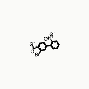 O=[N+]([O-])c1ccc(-c2ccccc2[N+](=O)[O-])cc1Br